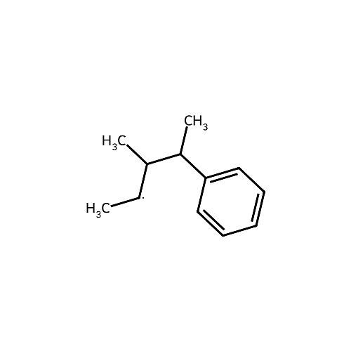 C[CH]C(C)C(C)c1ccccc1